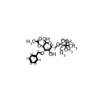 CC(=O)O[C@H]1C(O)O[C@H](CO[Si](C)(C)C(C)(C)C)[C@@H](O)[C@@H]1OCc1ccccc1